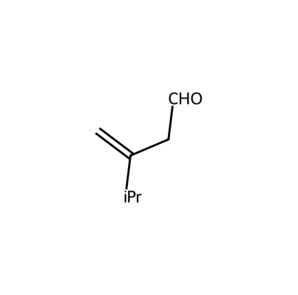 C=C(CC=O)C(C)C